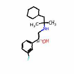 CC(C)(CC1CCCCC1)NC[C@H](O)c1cccc(F)c1